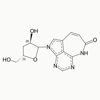 O=C1C=Cc2cn(C3O[C@H](CO)C[C@H]3O)c3ncnc(c23)N1